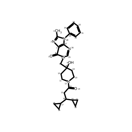 Cc1nc2c(=O)n(CC3(O)CCN(C(=O)CC(C4CC4)C4CC4)CC3)cnc2n1-c1ccccc1